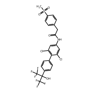 CS(=O)(=O)c1ccc(CC(=O)Nc2cc(Cl)c(-c3ccc(C(O)(C(F)(F)F)C(F)(F)F)cc3)c(Cl)c2)cc1